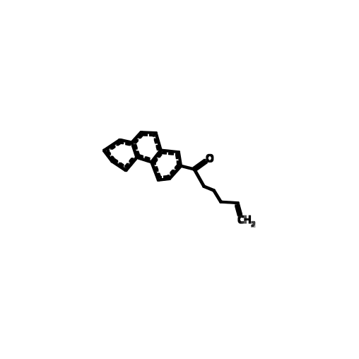 C=CCCCC(=O)c1ccc2c(ccc3ccccc32)c1